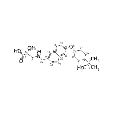 CC(C)(C)C1CCC(Oc2ccc3cc(CNCC(O)C(=O)O)ccc3c2)CC1